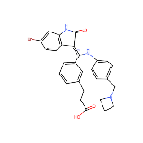 O=C(O)CCc1cccc(/C(Nc2ccc(CN3CCC3)cc2)=C2/C(=O)Nc3cc(Br)ccc32)c1